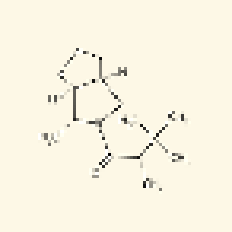 C[C@@H]1[C@H]2CCC[C@H]2CN1C(=O)[C@@H](C)C(C)(C)C